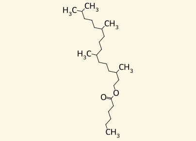 CCCCCC(=O)OCCC(C)CCCC(C)CCCC(C)CCCC(C)C